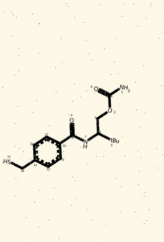 CC(C)(C)C(COC(N)=O)NC(=O)c1ccc(CS)cc1